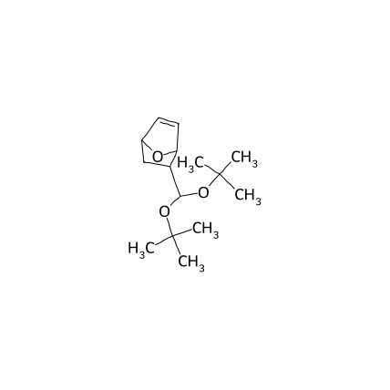 CC(C)(C)OC(OC(C)(C)C)C1CC2C=CC1O2